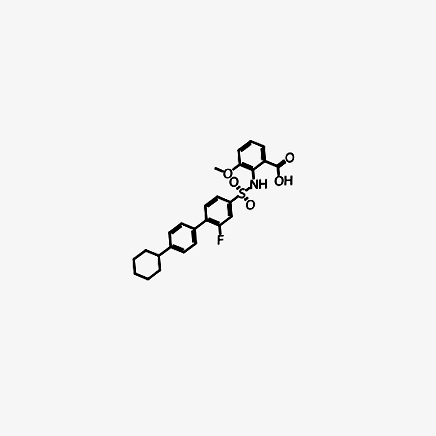 COc1cccc(C(=O)O)c1NS(=O)(=O)c1ccc(-c2ccc(C3CCCCC3)cc2)c(F)c1